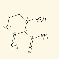 C=C1NCCN(C(=O)O)C1C(N)=O